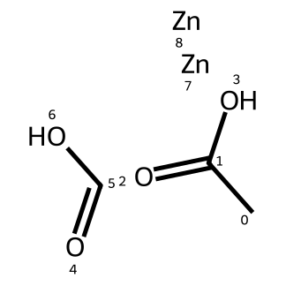 CC(=O)O.O=CO.[Zn].[Zn]